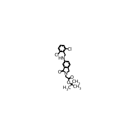 CC(C)(C)OC(=O)CN1Cc2ccc(NCc3c(Cl)cccc3Cl)cc2C1=O